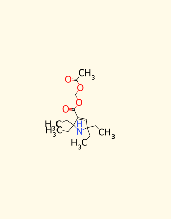 CCC1(CC)C=C(C(=O)OCOC(C)=O)C(CC)(CC)N1